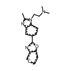 Cc1nc2cc(-c3nc4ccccc4o3)ccc2n1CCN(C)C